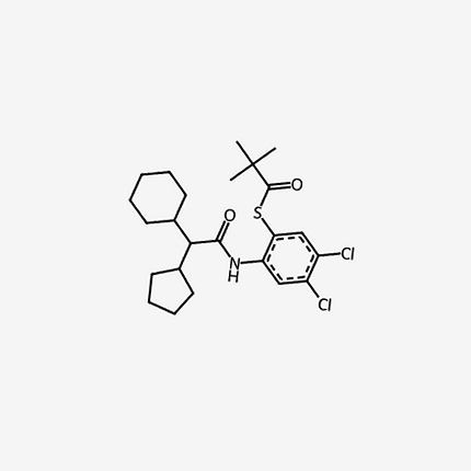 CC(C)(C)C(=O)Sc1cc(Cl)c(Cl)cc1NC(=O)C(C1CCCCC1)C1CCCC1